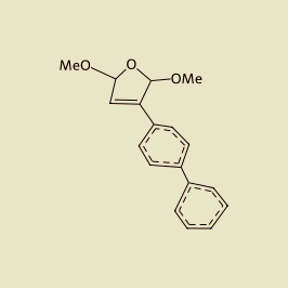 COC1C=C(c2ccc(-c3ccccc3)cc2)C(OC)O1